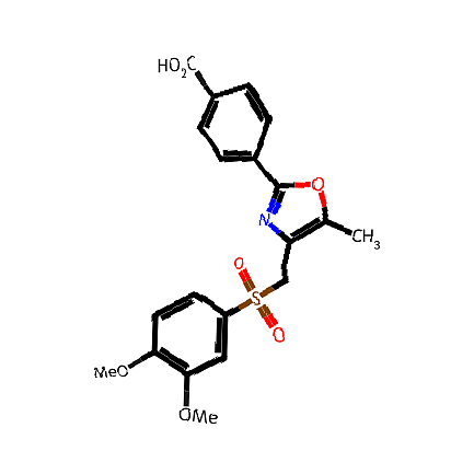 COc1ccc(S(=O)(=O)Cc2nc(-c3ccc(C(=O)O)cc3)oc2C)cc1OC